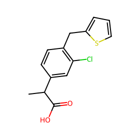 CC(C(=O)O)c1ccc(Cc2cccs2)c(Cl)c1